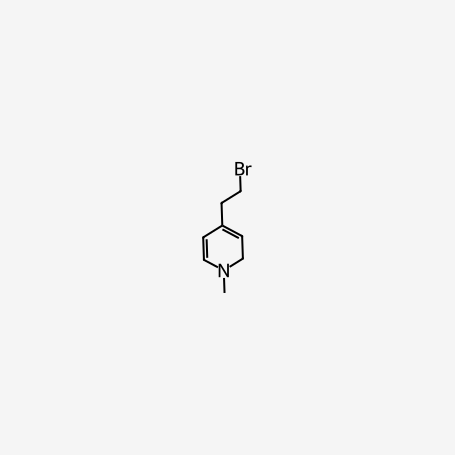 CN1C=CC(CCBr)=CC1